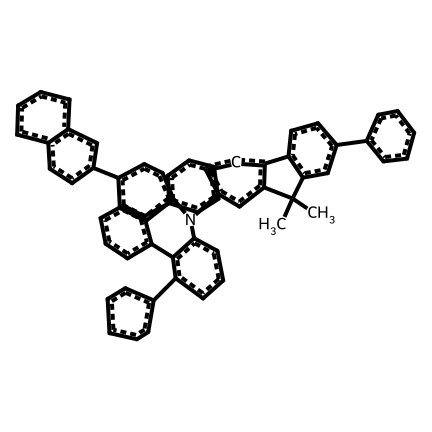 CC1(C)c2cc(-c3ccccc3)ccc2-c2ccc(N(c3ccc(-c4ccc5ccccc5c4)cc3)c3cccc(-c4ccccc4)c3-c3ccccc3-c3ccccc3)cc21